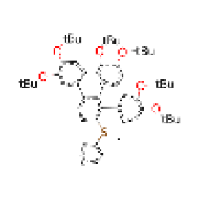 CC(C)(C)Oc1ccc(-c2ccc(Sc3ccccc3)c(-c3ccc(OC(C)(C)C)c(OC(C)(C)C)c3)c2-c2ccc(OC(C)(C)C)c(OC(C)(C)C)c2)cc1OC(C)(C)C